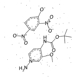 COc1c[n+](N)ccc1NC(=O)OC(C)(C)C.O=[N+]([O-])c1ccc([O-])c([N+](=O)[O-])c1